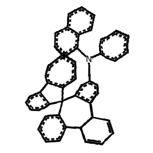 C1=CC2c3ccccc3C3(c4ccccc4-c4ccccc43)c3cc(N(c4ccccc4)c4cccc5ccccc45)ccc3C2C=C1